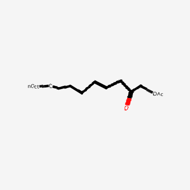 CCCCCCCCCCCCCCCC(=O)COC(C)=O